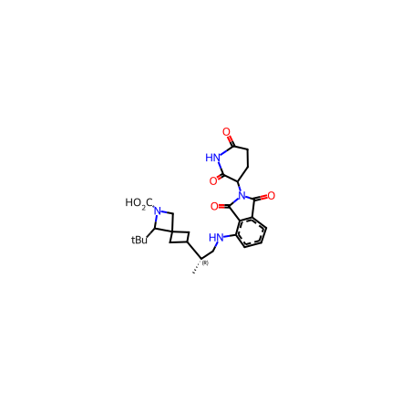 C[C@@H](CNc1cccc2c1C(=O)N(C1CCC(=O)NC1=O)C2=O)C1CC2(C1)CN(C(=O)O)C2C(C)(C)C